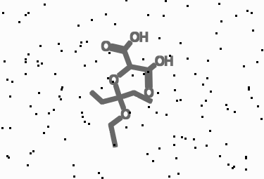 CCOC(CC)(CC)OC(C(=O)O)C(=O)O